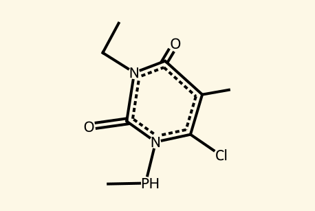 CCn1c(=O)c(C)c(Cl)n(PC)c1=O